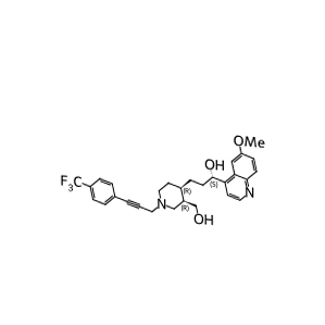 COc1ccc2nccc([C@@H](O)CC[C@@H]3CCN(CC#Cc4ccc(C(F)(F)F)cc4)C[C@@H]3CO)c2c1